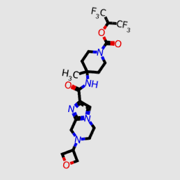 CC1(NC(=O)c2cn3c(n2)CN(C2COC2)CC3)CCN(C(=O)OC(C(F)(F)F)C(F)(F)F)CC1